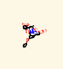 COc1cccc(C(CC(C)C)NC(=O)c2cc(COc3ccccc3)ccc2CCC(=O)O)c1OC